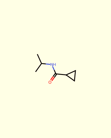 CC(C)NC(=O)[C]1CC1